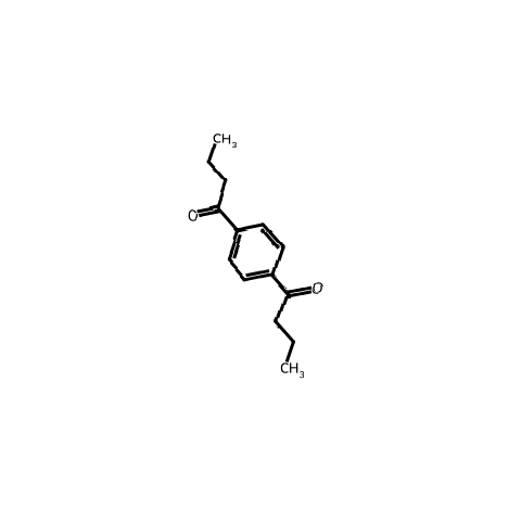 CCCC(=O)c1ccc(C(=O)CCC)cc1